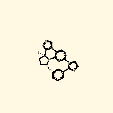 CC[C@@H]1CC[C@@]2(CC)c3nncn3-c3cnc(-n4ccnc4-c4ccccc4)nc3N12